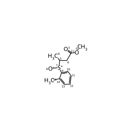 COC(=O)CC(C)[S+]([O-])c1ccccc1C